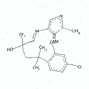 COc1cc(Cl)ccc1C(C)(C)CC(O)(C=Nc1cnc(C)[nH]1)C(F)(F)F